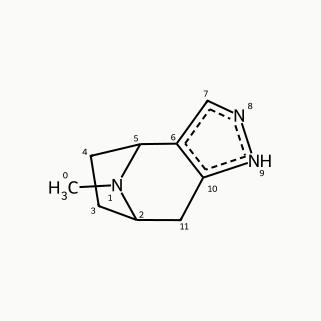 CN1C2CCC1c1cn[nH]c1C2